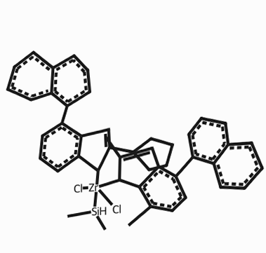 CC1=Cc2c(-c3cccc4ccccc34)ccc(C)c2[CH]1[Zr]([Cl])([Cl])([CH]1C(C2CCCC2)=Cc2c(-c3cccc4ccccc34)cccc21)[SiH](C)C